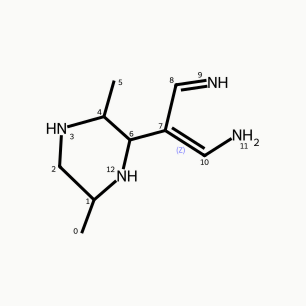 CC1CNC(C)C(/C(C=N)=C/N)N1